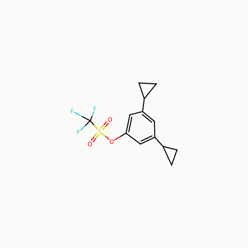 O=S(=O)(Oc1cc(C2CC2)cc(C2CC2)c1)C(F)(F)F